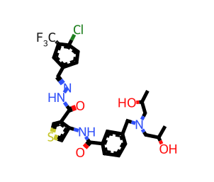 CC(O)CN(Cc1cccc(C(=O)Nc2cscc2C(=O)NN=Cc2ccc(Cl)c(C(F)(F)F)c2)c1)CC(C)O